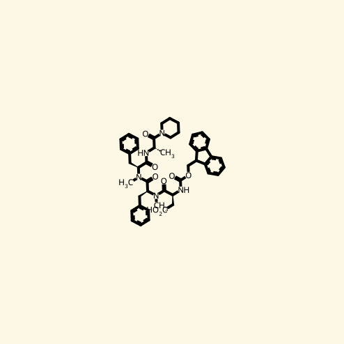 C[C@H](NC(=O)[C@H](Cc1ccccc1)N(C)C(=O)[C@H](Cc1ccccc1)N(C)C(=O)[C@H](CC(=O)O)NC(=O)OCC1c2ccccc2-c2ccccc21)C(=O)N1CCCCC1